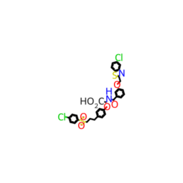 O=C(NC(Oc1ccc(CCCS(=O)(=O)c2ccc(Cl)cc2)cc1)C(=O)O)c1cccc(OCc2nc3cc(Cl)ccc3s2)c1